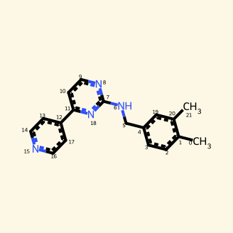 Cc1ccc(CNc2nccc(-c3ccncc3)n2)cc1C